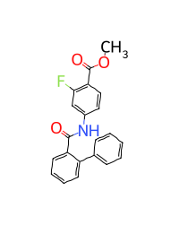 COC(=O)c1ccc(NC(=O)c2ccccc2-c2ccccc2)cc1F